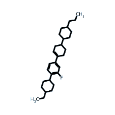 CCCC1CCC(C2CC=C(c3ccc(C4CCC(CC)CC4)c(F)c3)CC2)CC1